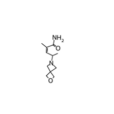 CC(=CC(C)N1CC2(COC2)C1)C(N)=O